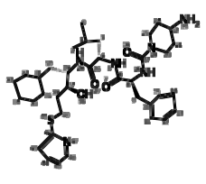 CC(C)C[C@H](NC(=O)[C@H](Cc1ccccc1)NC(=O)N1CCC(N)CC1)C(=O)N[C@@H](CC1CCCCC1)[C@@H](O)CCSc1ccccn1